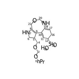 CCCOCOCC1CNC2=C1C1=CC(S(=O)O)CC=C1NCOC2